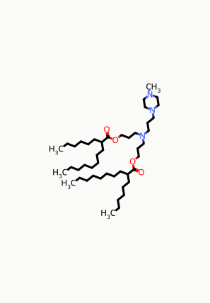 CCCCCCCCC(CCCCCC)C(=O)OCCCN(CCCOC(=O)C(CCCCCC)CCCCCCCC)CCCN1CCN(C)CC1